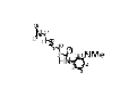 CNc1cccc(NC(=O)CCSSCCN(C)C)c1